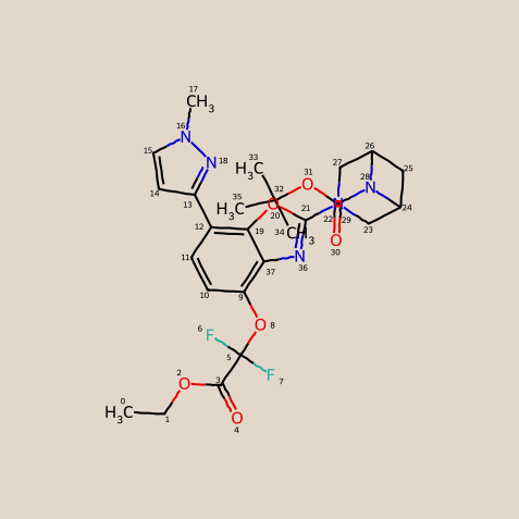 CCOC(=O)C(F)(F)Oc1ccc(-c2ccn(C)n2)c2oc(N3CC4CC(C3)N4C(=O)OC(C)(C)C)nc12